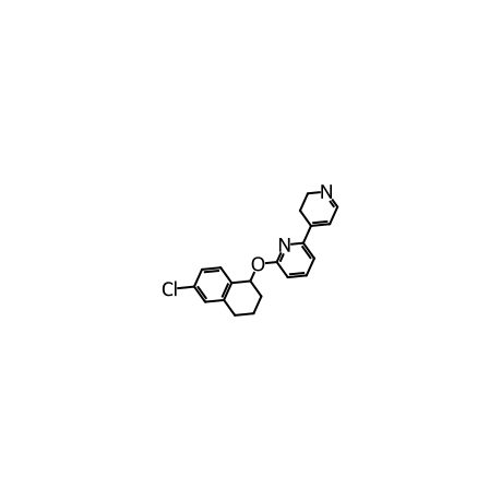 Clc1ccc2c(c1)CCCC2Oc1cccc(C2=CC=NCC2)n1